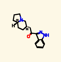 O=C(C[C@@H]1CC[C@@H]2CCCN2C1)c1n[nH]c2ccccc12